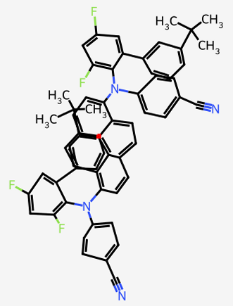 CC(C)(C)c1cccc(-c2cc(F)cc(F)c2N(c2ccc(C#N)cc2)c2ccc3ccc4c(N(c5ccc(C#N)cc5)c5c(F)cc(F)cc5-c5cccc(C(C)(C)C)c5)ccc5ccc2c3c54)c1